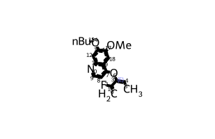 C=C(F)/C(=C\C)Oc1ccnc2cc(OCCCC)c(OC)cc12